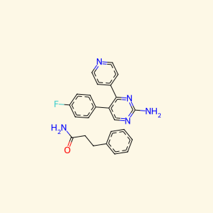 NC(=O)CCc1ccccc1.Nc1ncc(-c2ccc(F)cc2)c(-c2ccncc2)n1